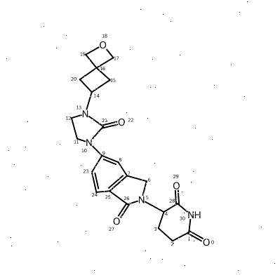 O=C1CCC(N2Cc3cc(N4CCN(C5CC6(COC6)C5)C4=O)ccc3C2=O)C(=O)N1